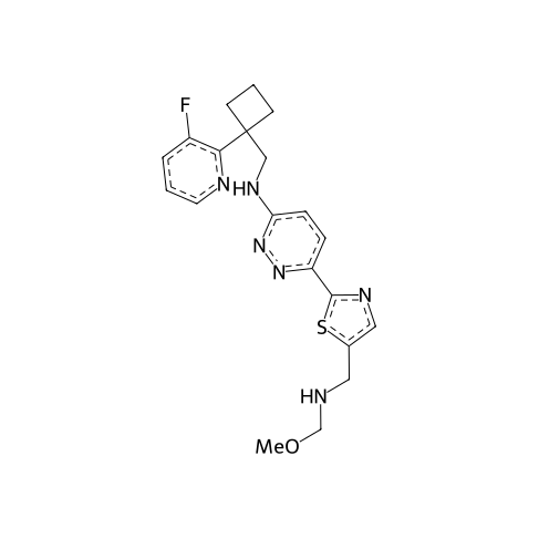 COCNCc1cnc(-c2ccc(NCC3(c4ncccc4F)CCC3)nn2)s1